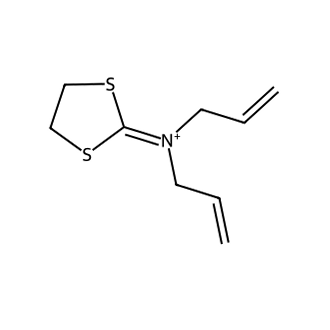 C=CC[N+](CC=C)=C1SCCS1